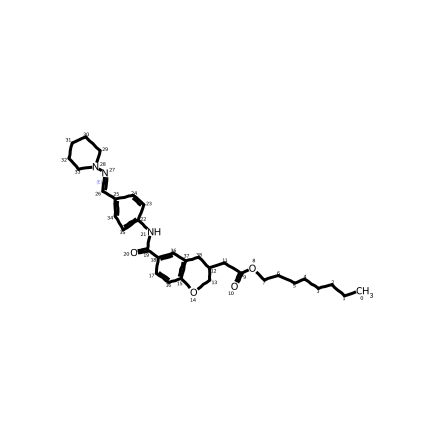 CCCCCCCCOC(=O)CC1COc2ccc(C(=O)Nc3ccc(/C=N/N4CCCCC4)cc3)cc2C1